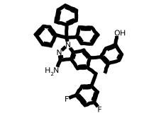 Cc1ccc(O)cc1-c1cc2c(cc1Cc1cc(F)cc(F)c1)c(N)nn2C(c1ccccc1)(c1ccccc1)c1ccccc1